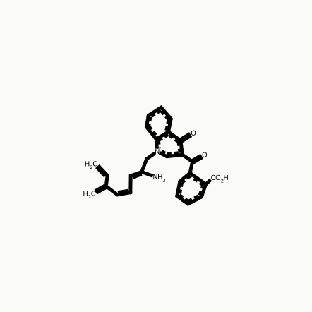 C=CC(=C)/C=C\C=C(/N)Cn1cc(C(=O)c2ccccc2C(=O)O)c(=O)c2ccccc21